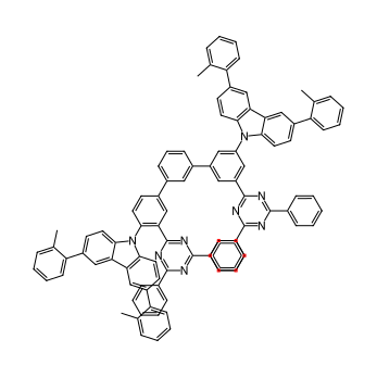 Cc1ccccc1-c1ccc2c(c1)c1cc(-c3ccccc3C)ccc1n2-c1cc(-c2cccc(-c3ccc(-n4c5ccc(-c6ccccc6C)cc5c5cc(-c6ccccc6C)ccc54)c(-c4nc(-c5ccccc5)nc(-c5ccccc5)n4)c3)c2)cc(-c2nc(-c3ccccc3)nc(-c3ccccc3)n2)c1